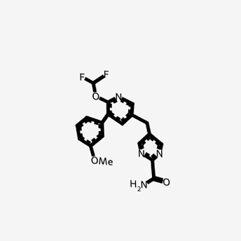 COc1cccc(-c2cc(Cc3cnc(C(N)=O)nc3)cnc2OC(F)F)c1